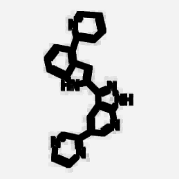 c1ccc(-c2cccc3[nH]c(-c4n[nH]c5ncc(-c6cnccn6)cc45)cc23)nc1